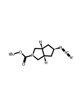 CC(C)(C)OC(=O)N1C[C@H]2C[C@H](N=[N+]=[N-])C[C@H]2C1